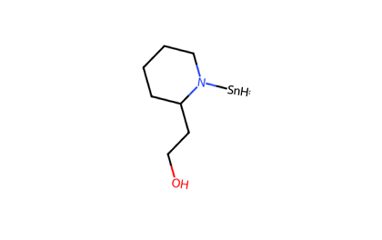 OCCC1CCCC[N]1[SnH]